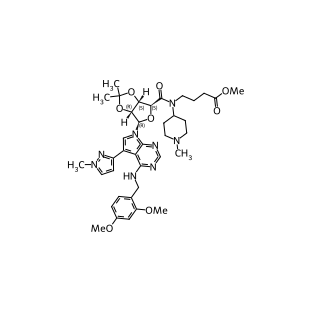 COC(=O)CCCN(C(=O)[C@H]1O[C@@H](n2cc(-c3ccn(C)n3)c3c(NCc4ccc(OC)cc4OC)ncnc32)[C@@H]2OC(C)(C)O[C@@H]21)C1CCN(C)CC1